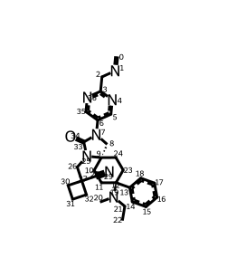 C=NCc1ncc(N2C[C@]3(CC[C@](c4ccccc4)(N(C)CC)CC3)N(CC3(C#N)CCC3)C2=O)cn1